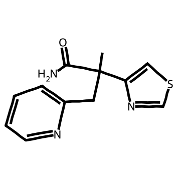 CC(Cc1ccccn1)(C(N)=O)c1cscn1